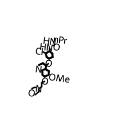 CCCNC(=O)Nc1ccc(Oc2ccnc3cc(OCCN4CCOCC4)c(OC)cc23)cc1Cl